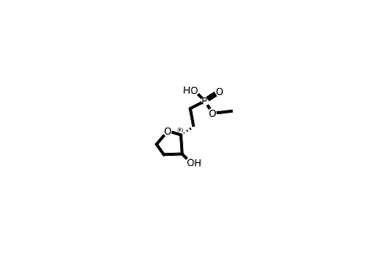 COP(=O)(O)CC[C@H]1OCCC1O